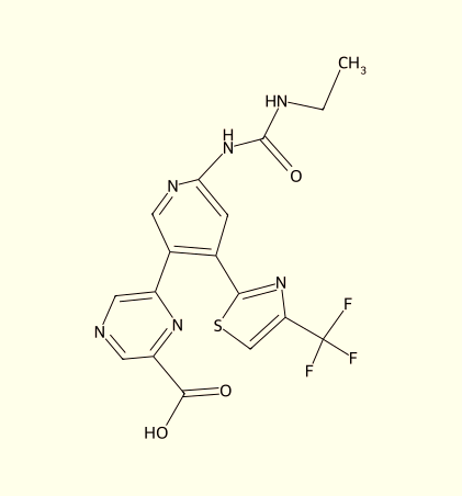 CCNC(=O)Nc1cc(-c2nc(C(F)(F)F)cs2)c(-c2cncc(C(=O)O)n2)cn1